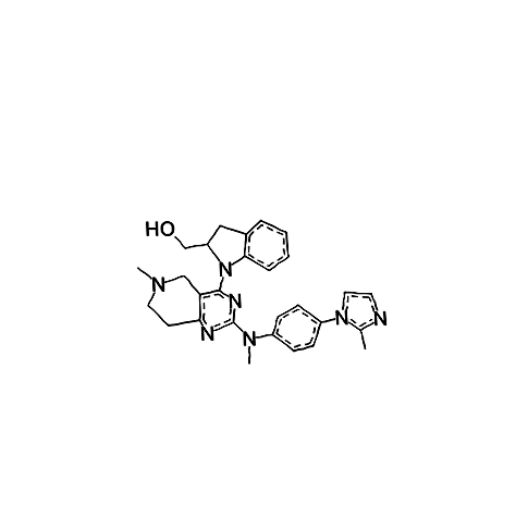 Cc1nccn1-c1ccc(N(C)c2nc3c(c(N4c5ccccc5CC4CO)n2)CN(C)CC3)cc1